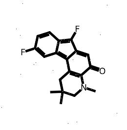 CN1CC(C)(C)CC2=C1C(=O)C=C1C(F)=c3ccc(F)cc3=C12